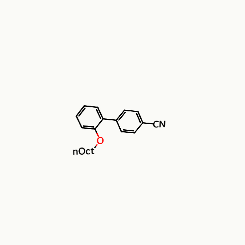 CCCCCCCCOc1ccccc1-c1ccc(C#N)cc1